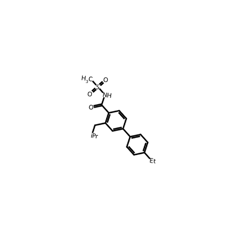 [CH2]Cc1ccc(-c2ccc(C(=O)NS(C)(=O)=O)c(CC(C)C)c2)cc1